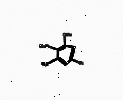 CCc1cc(C)c(OC)c(OC)c1